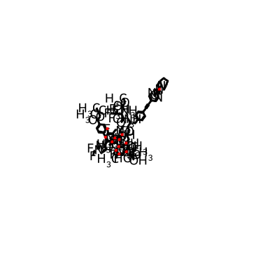 COC(=O)N[C@H](C(=O)N[C@@H](Cc1ccc(C#Cc2cnc(N3CC4CCC(C3)N4C3COC3)nc2)cc1)[C@H](CN(Cc1c(F)cc(-c2ccn(C(F)F)n2)cc1F)NC(=O)[C@@H](NC(=O)OC)C(C)(C)C(F)(F)F)OC(=O)CC(C)(C)c1c(CC(=O)NCc2ccc(C(=O)OC(C)(C)C)cc2)cc(C)cc1OP(=O)(O)O)C(C)(C)C(F)(F)F